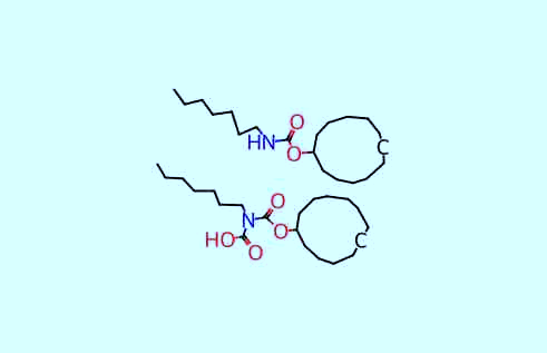 CCCCCCCN(C(=O)O)C(=O)OC1CCCCCCCCCCC1.CCCCCCCNC(=O)OC1CCCCCCCCCCC1